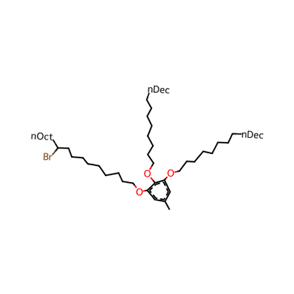 CCCCCCCCCCCCCCCCCCOc1cc(C)cc(OCCCCCCCCCC(Br)CCCCCCCC)c1OCCCCCCCCCCCCCCCCCC